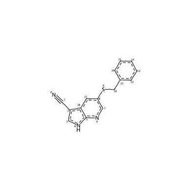 N#Cc1c[nH]c2ncc(SCc3ccccc3)cc12